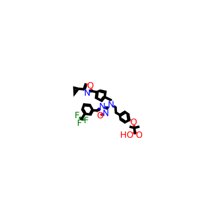 CC(C)(Oc1ccc(CCN(Cc2ccc(-c3nc(C4CC4)co3)cc2)c2noc(-c3cccc(C(F)(F)F)c3)n2)cc1)C(=O)O